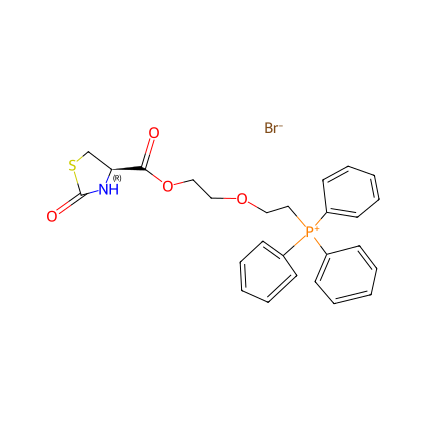 O=C1N[C@H](C(=O)OCCOCC[P+](c2ccccc2)(c2ccccc2)c2ccccc2)CS1.[Br-]